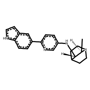 C[C@@H]1[C@@H](Nc2ccc(-c3ccc4[nH]ccc4c3)nc2)C2CCN1CC2